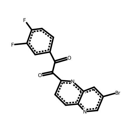 O=C(C(=O)c1ccc2ncc(Br)cc2n1)c1ccc(F)c(F)c1